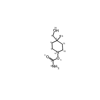 NC(=O)ON1CCC(F)(CO)CC1